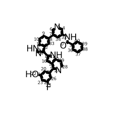 O=C(Nc1cncc(-c2ccc3[nH]nc(-c4cc5c(-c6cc(O)cc(F)c6)nccc5[nH]4)c3c2)c1)c1ccccc1